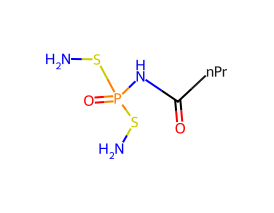 CCCC(=O)NP(=O)(SN)SN